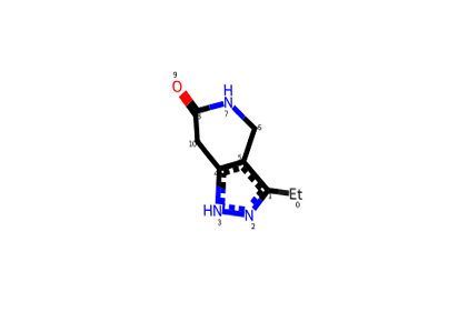 CCc1n[nH]c2c1CNC(=O)C2